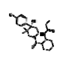 CCC(=O)NC1CCCCC1C(=O)N1CC[C@](O)(c2ccc(Cl)cc2)C(C)(C)C1